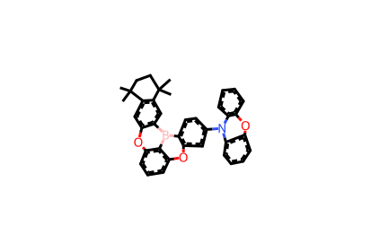 CC1(C)CCC(C)(C)c2cc3c(cc21)Oc1cccc2c1B3c1ccc(N3c4ccccc4Oc4ccccc43)cc1O2